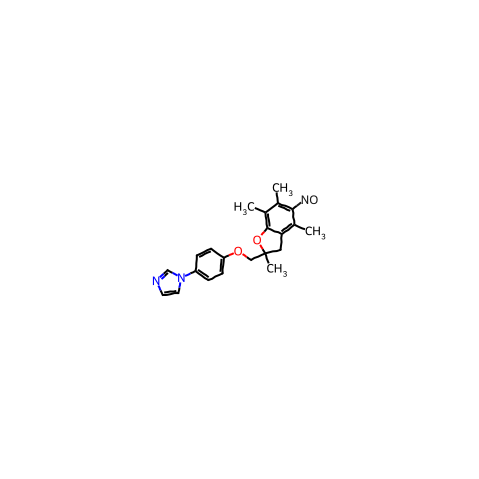 Cc1c(C)c2c(c(C)c1N=O)CC(C)(COc1ccc(-n3ccnc3)cc1)O2